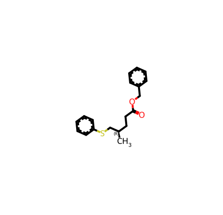 C[C@H](CCC(=O)OCc1ccccc1)CSc1ccccc1